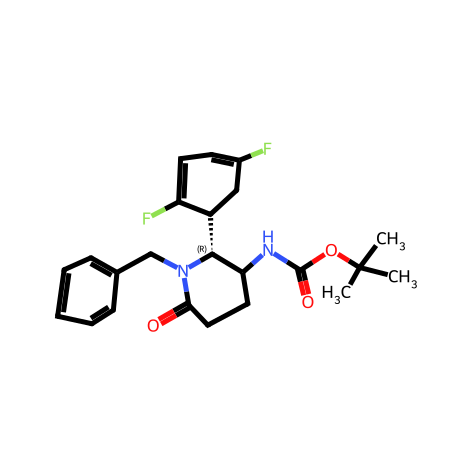 CC(C)(C)OC(=O)NC1CCC(=O)N(Cc2ccccc2)[C@@H]1C1CC(F)=CC=C1F